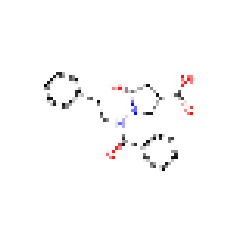 O=C(O)C1CC(=O)N(N(CCc2ccccc2)C(=O)c2ccccc2)C1